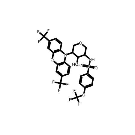 N=S(=O)(NC1COCC(N2c3ccc(C(F)(F)F)cc3Oc3cc(C(F)(F)F)ccc32)C1O)c1ccc(OC(F)(F)F)cc1